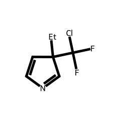 [CH2]CC1(C(F)(F)Cl)C=CN=C1